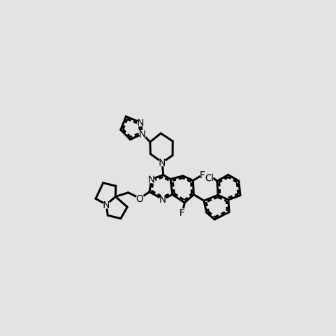 Fc1cc2c(N3CCCC(n4cccn4)C3)nc(OCC34CCCN3CCC4)nc2c(F)c1-c1cccc2cccc(Cl)c12